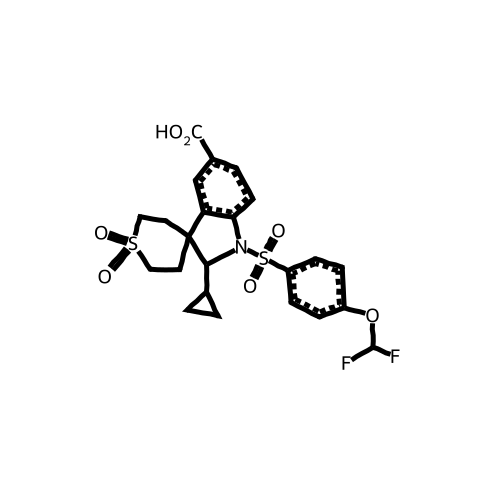 O=C(O)c1ccc2c(c1)C1(CCS(=O)(=O)CC1)C(C1CC1)N2S(=O)(=O)c1ccc(OC(F)F)cc1